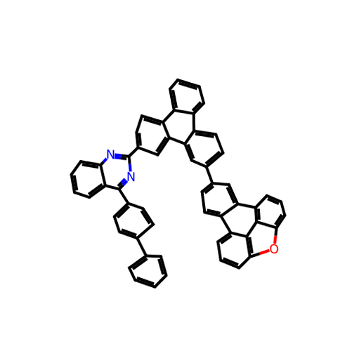 c1ccc(-c2ccc(-c3nc(-c4ccc5c6ccccc6c6ccc(-c7ccc8c(c7)c7cccc9oc%10cccc8c%10c97)cc6c5c4)nc4ccccc34)cc2)cc1